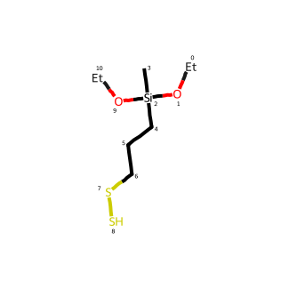 CCO[Si](C)(CCCSS)OCC